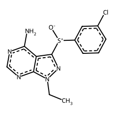 CCn1nc([S+]([O-])c2cccc(Cl)c2)c2c(N)ncnc21